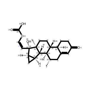 C[C@H]1CC2=CC(=O)CC[C@@H]2[C@H]2CC[C@@]3(C)[C@@H]([C@H]4C[C@H]4[C@@]3(O)/C=C\OC(=O)O)[C@@H]21